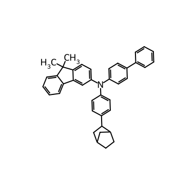 CC1(C)c2ccccc2-c2cc(N(c3ccc(-c4ccccc4)cc3)c3ccc(C4CC5CCC4C5)cc3)ccc21